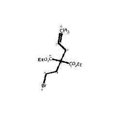 C=CCC(CCBr)(C(=O)OCC)C(=O)OCC